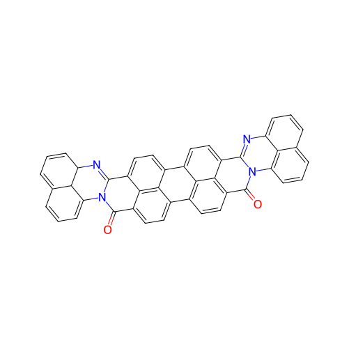 O=c1c2ccc3c4ccc5c(=O)n6c7cccc8cccc(nc6c6ccc(c9ccc(c%10n1C1=CC=CC%11=CC=CC(N=%10)C%111)c2c39)c4c56)c87